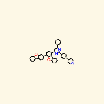 c1ccc(-c2cc(-c3ccc(-c4ccc5c(c4)oc4ccccc45)c4oc5ccccc5c34)nc(-c3ccc(-c4ccncc4)cc3)n2)cc1